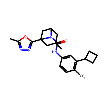 Cc1nnc(C23CC(C)CC(C2)N3C(=O)Nc2ccc(C(F)(F)F)c(C3CCC3)c2)o1